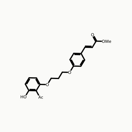 COC(=O)/C=C/c1ccc(OCCCOc2cccc(O)c2C(C)=O)cc1